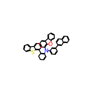 C1=CC(N(c2cccc(-c3ccc4ccccc4c3)c2)c2cccc3c2oc2ccccc23)=C(c2cccc3c2sc2ccccc23)CC1